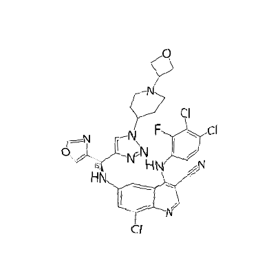 N#Cc1cnc2c(Cl)cc(N[C@@H](c3cocn3)c3cn(C4CCN(C5COC5)CC4)nn3)cc2c1Nc1ccc(Cl)c(Cl)c1F